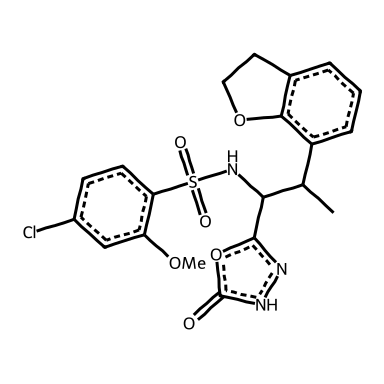 COc1cc(Cl)ccc1S(=O)(=O)NC(c1n[nH]c(=O)o1)C(C)c1cccc2c1OCC2